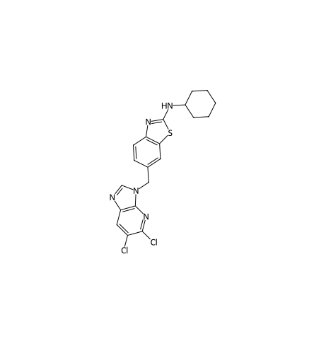 Clc1cc2ncn(Cc3ccc4nc(NC5CCCCC5)sc4c3)c2nc1Cl